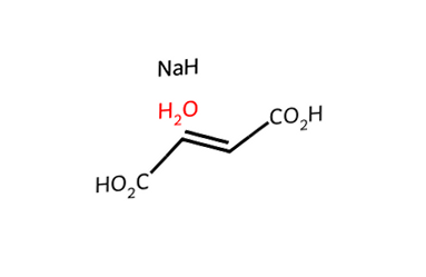 O.O=C(O)C=CC(=O)O.[NaH]